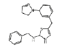 C1=CC(CC2=CNC(NCc3ccccc3)S2)=CC(N2CCC=N2)C1